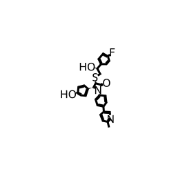 Cc1ccc(-c2ccc(N3C(=O)[C@H](SC[C@H](O)c4ccc(F)cc4)[C@H]3c3ccc(O)cc3)cc2)cn1